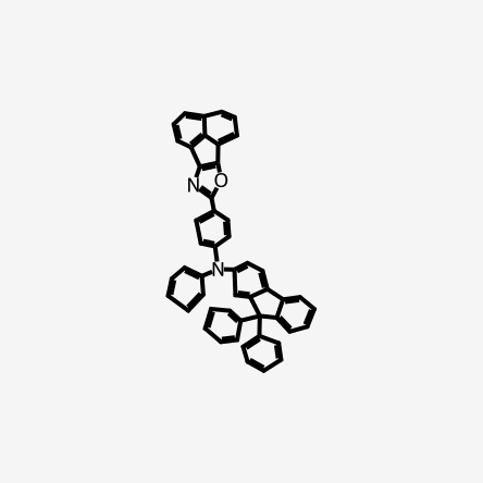 c1ccc(N(c2ccc(-c3nc4c(o3)-c3cccc5cccc-4c35)cc2)c2ccc3c(c2)C(c2ccccc2)(c2ccccc2)c2ccccc2-3)cc1